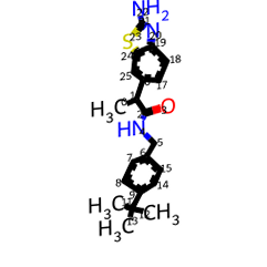 CC(C(=O)NCc1ccc(C(C)(C)C)cc1)c1ccc2nc(N)sc2c1